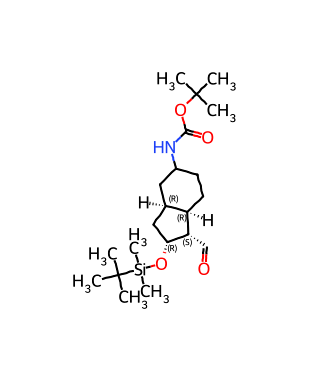 CC(C)(C)OC(=O)NC1CC[C@@H]2[C@H](C1)C[C@@H](O[Si](C)(C)C(C)(C)C)[C@H]2C=O